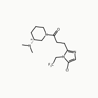 CN(C)[C@@H]1CCCN(C(=O)CCc2ncc(Cl)n2CC(F)(F)F)C1